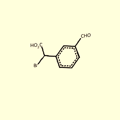 O=Cc1cccc(C(Br)C(=O)O)c1